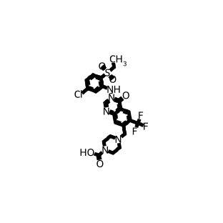 CCS(=O)(=O)c1ccc(Cl)cc1Nn1cnc2cc(CN3CCN(C(=O)O)CC3)c(C(F)(F)F)cc2c1=O